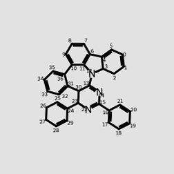 C1=CCC2C(=C1)c1cccc3c1N2C1=NC(c2ccccc2)=NC(C2=CCCC=C2)C1c1ccccc1-3